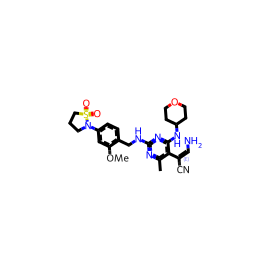 COc1cc(N2CCCS2(=O)=O)ccc1CNc1nc(C)c(/C(C#N)=C\N)c(NC2CCOCC2)n1